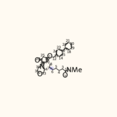 CNC(=O)CCC/C=C\C[C@H]1[C@@H](OCc2ccc(-c3ccccc3)cc2)CC(=O)[C@@H]1N1CCOCC1